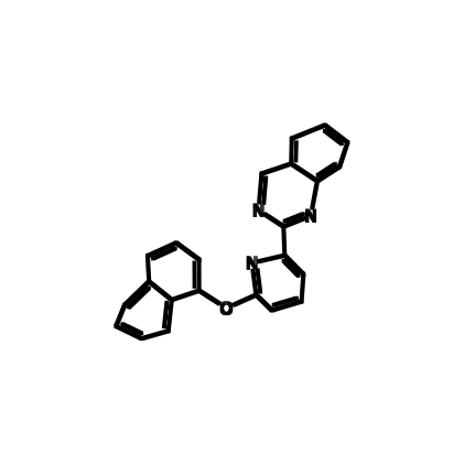 c1cc(Oc2cccc3ccccc23)nc(-c2ncc3ccccc3n2)c1